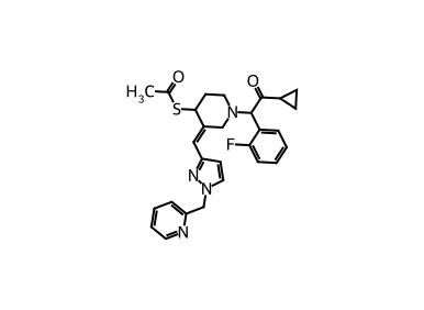 CC(=O)SC1CCN(C(C(=O)C2CC2)c2ccccc2F)C/C1=C\c1ccn(Cc2ccccn2)n1